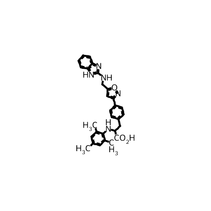 Cc1cc(C)c(NC(Cc2ccc(-c3cc(CNc4nc5ccccc5[nH]4)on3)cc2)C(=O)O)c(C)c1